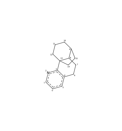 c1cnc2c(c1)CCC1C3CCCC21CC3